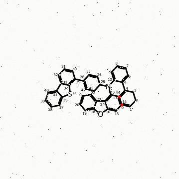 C1=CCCC(c2ccccc2N(c2cccc3oc4ccccc4c23)C2C=CC(c3cccc4c3sc3ccccc34)=CC2)=C1